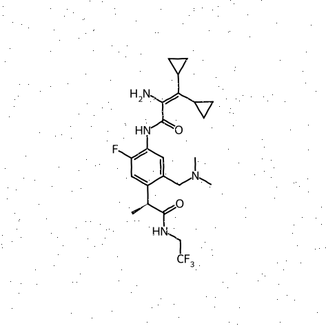 C[C@H](C(=O)NCC(F)(F)F)c1cc(F)c(NC(=O)C(N)=C(C2CC2)C2CC2)cc1CN(C)C